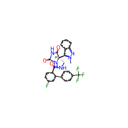 Cn1nc2ccccc2c1[C@@]1(CNC(=O)c2ccc(F)cc2-c2ccc(C(F)(F)F)cc2)NC(=O)NC1=O